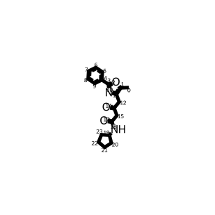 Cc1oc(-c2ccccc2)nc1CC(=O)CC(=O)NC1CCCC1